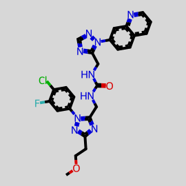 COCCc1nc(CNC(=O)NCc2ncnn2-c2ccc3cccnc3c2)n(-c2ccc(Cl)c(F)c2)n1